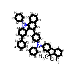 CC1(C)c2ccccc2-c2ccc(N(c3ccccc3)c3ccc(-c4cc5ccccc5c5c4c4cc(-c6ccccc6)ccc4n5-c4ccccc4)cc3)cc21